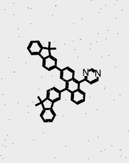 CC1(C)c2ccccc2-c2cc(-c3c4ccccc4c(-c4ccncn4)c4ccc(-c5ccc6c(c5)C(C)(C)c5ccccc5-6)cc34)ccc21